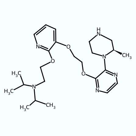 CC(C)N(CCOc1ncccc1OCCOc1nccnc1N1CCNC[C@H]1C)C(C)C